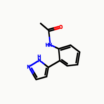 CC(=O)Nc1ccccc1-c1ccn[nH]1